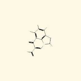 CC1Cc2c(F)c(F)c(N)c3c(=O)c(C(=O)O)cn1c23